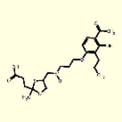 CCCc1c(OCCC[S+]([O-])CC2COC(C)(CCC(=O)O)S2)ccc(C(C)=O)c1O